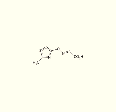 Nc1nc(ON=CC(=O)O)cs1